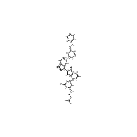 CN(C)CCOc1cc(F)cc(-c2cncc3[nH]c(-c4n[nH]c5cnc(-c6cncc(OCc7ccccc7)c6)cc45)cc23)c1